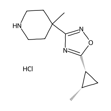 C[C@H]1C[C@H]1c1nc(C2(C)CCNCC2)no1.Cl